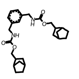 O=C(NCc1cccc(CNC(=O)OCC2CC3CCC2C3)c1)OCC1CC2CCC1C2